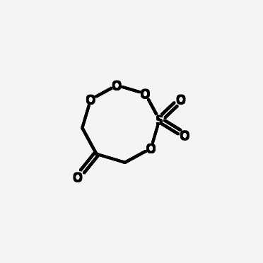 O=C1COOOS(=O)(=O)OC1